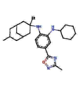 CCC1(Nc2ccc(-c3nc(C)no3)cc2NC2CCCCC2)CC2CC(C)CC(C2)C1